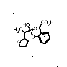 CC(C1CCCO1)P(=O)(O)Oc1ccccc1CC(=O)O